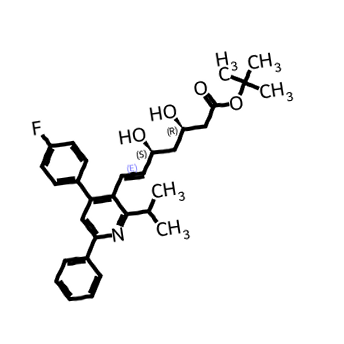 CC(C)c1nc(-c2ccccc2)cc(-c2ccc(F)cc2)c1/C=C/[C@@H](O)C[C@@H](O)CC(=O)OC(C)(C)C